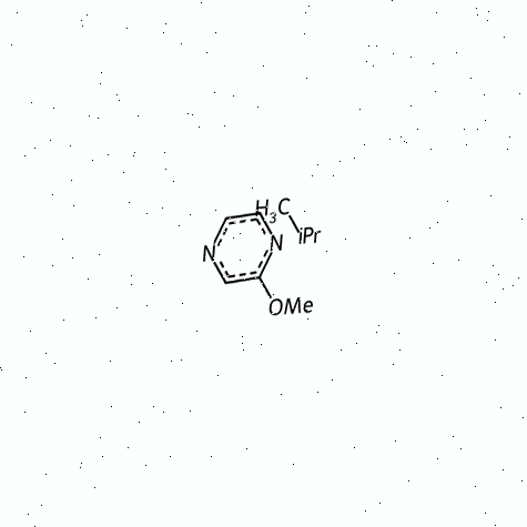 CC(C)C.COc1cnccn1